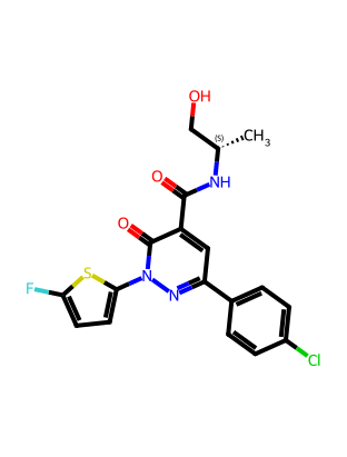 C[C@@H](CO)NC(=O)c1cc(-c2ccc(Cl)cc2)nn(-c2ccc(F)s2)c1=O